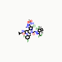 Cn1nc(NS(C)(=O)=O)c2c(Cl)ccc(-c3cc4nc(C5CC5)oc4nc3[C@H](Cc3cc(F)cc(F)c3)NC(=O)Cn3nc(C(F)F)c4c3C(F)(F)[C@@H]3CC[C@H]43)c21